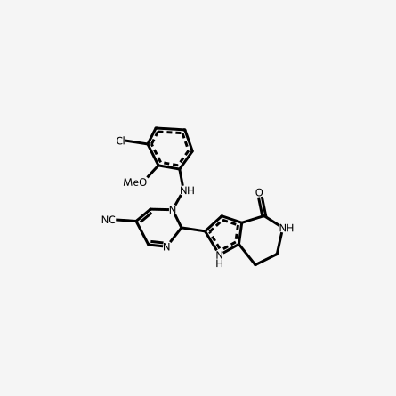 COc1c(Cl)cccc1NN1C=C(C#N)C=NC1c1cc2c([nH]1)CCNC2=O